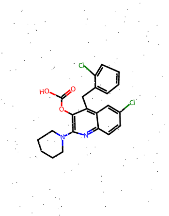 O=C(O)Oc1c(N2CCCCC2)nc2ccc(Cl)cc2c1Cc1ccccc1Cl